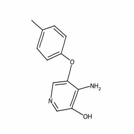 Cc1ccc(Oc2cncc(O)c2N)cc1